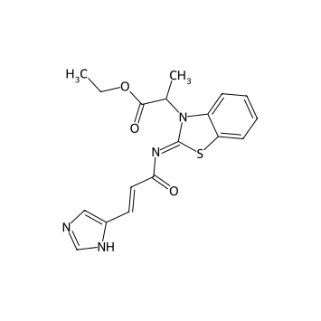 CCOC(=O)C(C)n1c(=NC(=O)C=Cc2cnc[nH]2)sc2ccccc21